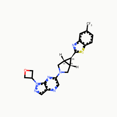 FC(F)(F)c1ccc2sc([C@H]3[C@@H]4CN(c5cnc6cnn(C7COC7)c6n5)C[C@@H]43)nc2c1